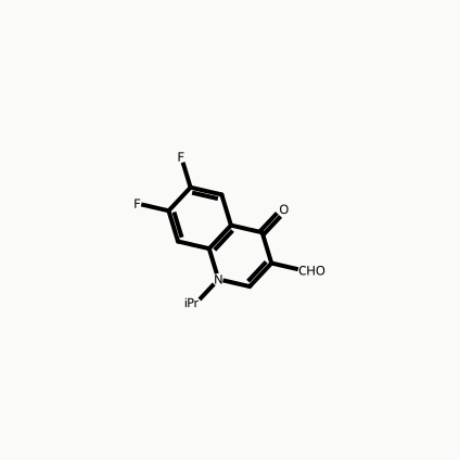 CC(C)n1cc(C=O)c(=O)c2cc(F)c(F)cc21